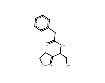 CC(C)C[C@H](NC(=O)Cc1ccccc1)C1=NOCC1